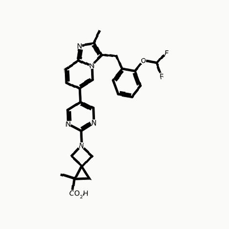 Cc1nc2ccc(-c3cnc(N4CC5(C4)CC5(C)C(=O)O)nc3)cn2c1Cc1ccccc1OC(F)F